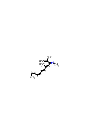 C=C(C(/C=C(C)/C=C/C=C\C=C/C)=N/C)C(C)C